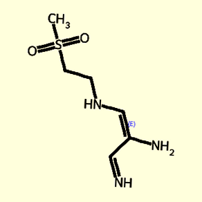 CS(=O)(=O)CCN/C=C(/N)C=N